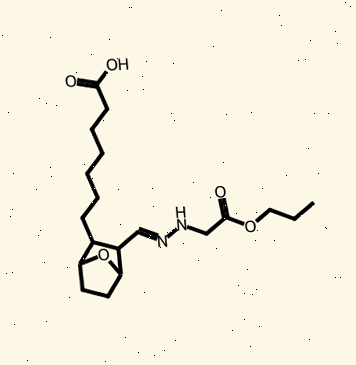 CCCOC(=O)CNN=CC1C2CCC(O2)C1CCCCCCC(=O)O